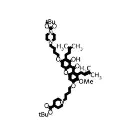 COc1c(OCCCCN2CCC(C(=O)OC(C)(C)C)CC2)cc2oc3cc(OCCCCN4CCN(C(=O)OC(C)(C)C)CC4)c(CC=C(C)C)c(O)c3c(=O)c2c1CC=C(C)C